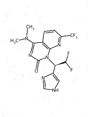 CN(C)c1nc(=O)n([C@H](c2c[nH]cn2)C(F)F)c2nc(C(F)(F)F)ccc12